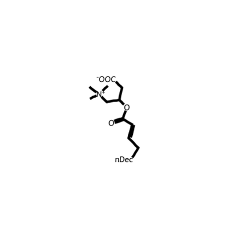 CCCCCCCCCCC/C=C/C(=O)OC(CC(=O)[O-])C[N+](C)(C)C